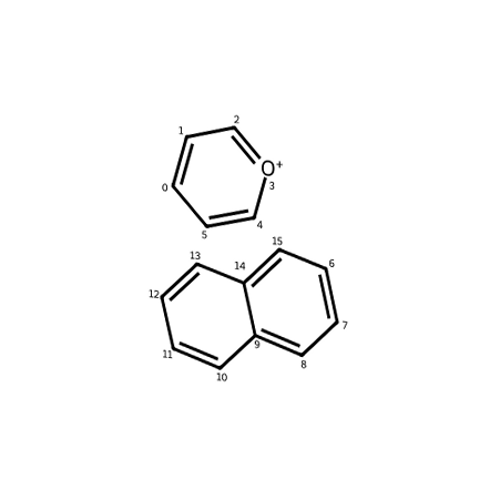 c1cc[o+]cc1.c1ccc2ccccc2c1